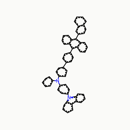 c1ccc(N(c2ccc(-c3ccc(-c4c5ccccc5c(-c5ccc6ccccc6c5)c5ccccc45)cc3)cc2)c2ccc(-n3c4ccccc4c4ccccc43)cc2)cc1